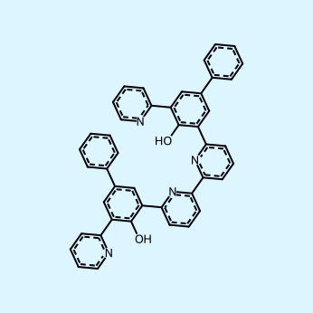 Oc1c(-c2ccccn2)cc(-c2ccccc2)cc1-c1cccc(-c2cccc(-c3cc(-c4ccccc4)cc(-c4ccccn4)c3O)n2)n1